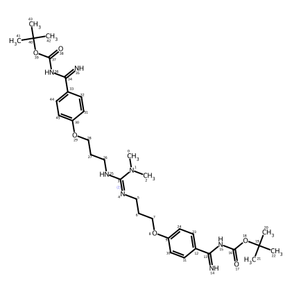 CN(C)/C(=N\CCCOc1ccc(C(=N)NC(=O)OC(C)(C)C)cc1)NCCCOc1ccc(C(=N)NC(=O)OC(C)(C)C)cc1